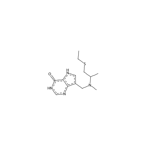 CCSCC(C)N(C)Cc1c[nH]c2c(=O)[nH]cnc12